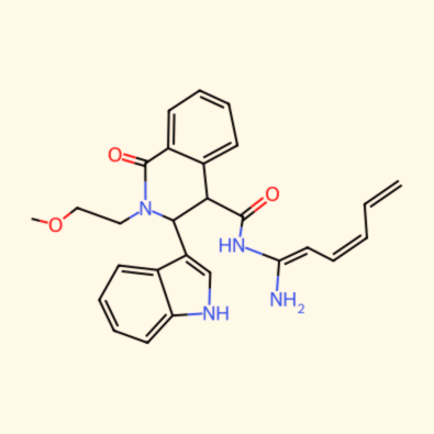 C=C/C=C\C=C(/N)NC(=O)C1c2ccccc2C(=O)N(CCOC)C1c1c[nH]c2ccccc12